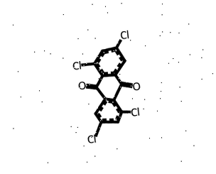 O=C1c2cc(Cl)cc(Cl)c2C(=O)c2cc(Cl)cc(Cl)c21